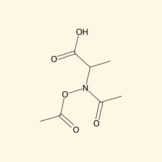 CC(=O)ON(C(C)=O)C(C)C(=O)O